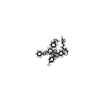 COCCCN1CCOc2ccc(C(O[C@H]3CN[C@H](COc4ccccc4)C[C@@H]3c3ccc(OC)cc3)S(=O)(=O)c3ccc(C)cc3)cc21